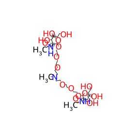 CC(=O)N[C@@H]1C(OCCOCCOCCN(C)CCOCCOCCOC2OC(CO)[C@H](O)C(O)[C@@H]2NC(C)=O)OC(CO)[C@H](O)C1O